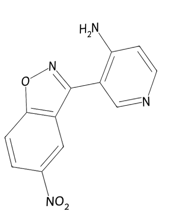 Nc1ccncc1-c1noc2ccc([N+](=O)[O-])cc12